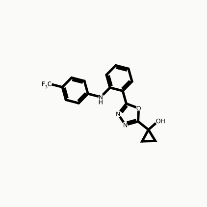 OC1(c2nnc(-c3ccccc3Nc3ccc(C(F)(F)F)cc3)o2)CC1